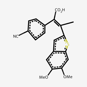 COc1cc2cc(C(C)=C(C(=O)O)c3ccc(C#N)cc3)sc2cc1OC